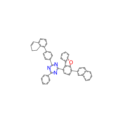 C1=Cc2cccc(-c3ccc(-c4nc(-c5ccccc5)nc(-c5ccc(-c6ccc7ccccc7c6)c6oc7ccccc7c56)n4)cc3)c2CC1